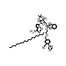 CCCCCCCCCCCCCCCCCCC[C@H](COP(=O)(OC[C@@]1(C)O[C@@H](c2ccc3c(N)ncnn23)[C@@H]2OC(C)(C)O[C@@H]21)Oc1ccccc1Cl)OCc1ccc(-n2cncn2)c(C#N)c1